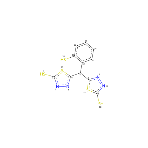 Sc1nnc(C(c2nnc(S)s2)c2ccccc2S)s1